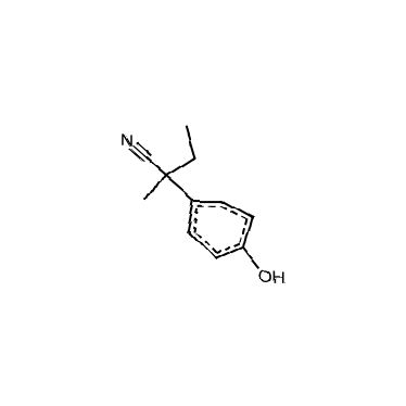 CCC(C)(C#N)c1ccc(O)cc1